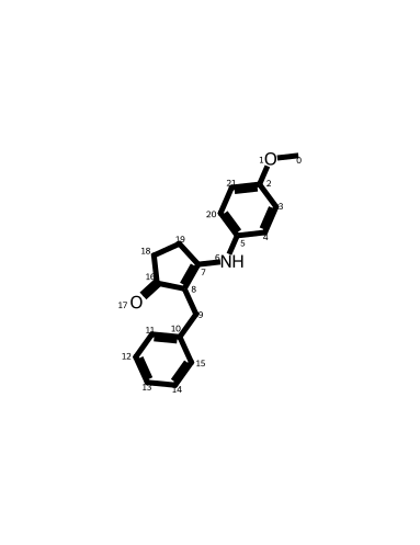 COc1ccc(NC2=C(Cc3ccccc3)C(=O)CC2)cc1